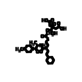 CC(=O)SCCN(CCC1CCCCC1)C(=O)N[C@@H](C)C(=O)N1CCN(C)CC1.O=C(O)CC(O)(CC(=O)O)C(=O)O